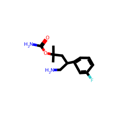 CC(C)(CC(CN)c1cccc(F)c1)OC(N)=O